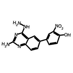 NNc1nc(N)nc2ccc(-c3ccc(O)c([N+](=O)[O-])c3)cc12